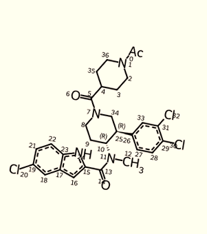 CC(=O)N1CCC(C(=O)N2CC[C@@H](N(C)C(=O)c3cc4cc(Cl)ccc4[nH]3)[C@H](c3ccc(Cl)c(Cl)c3)C2)CC1